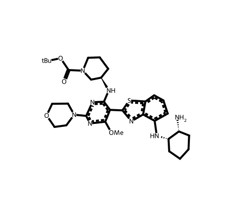 COc1nc(N2CCOCC2)nc(N[C@@H]2CCCN(C(=O)OC(C)(C)C)C2)c1-c1nc2c(N[C@H]3CCCC[C@H]3N)cccc2s1